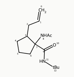 C=CCC1CCCC1(NC(C)=O)C(=O)NC(C)(C)C